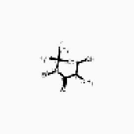 CCN(C(=O)C(C)CO)C(C)(C)CC